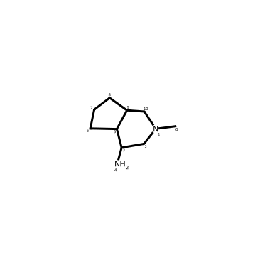 CN1CC(N)C2CCCC2C1